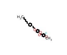 CCCCCCC[C@H]1CC[C@H](CCCOc2ccc(OC(=O)c3ccc(OC)c(F)c3)cc2)CC1